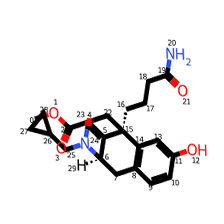 COC(=O)/C=C1\[C@H]2Cc3ccc(O)cc3[C@]1(CCCC(N)=O)CCN2CC1CC1